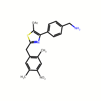 CC(=O)Oc1sc(Cc2cc(C)c([N+](=O)[O-])cc2C)nc1-c1ccc(CN)cc1